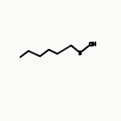 CCCCCCSO